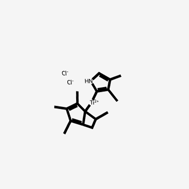 CC1=C(C)[C]2([Ti+2][c]3[nH]cc(C)c3C)C(=C1C)CC2C.[Cl-].[Cl-]